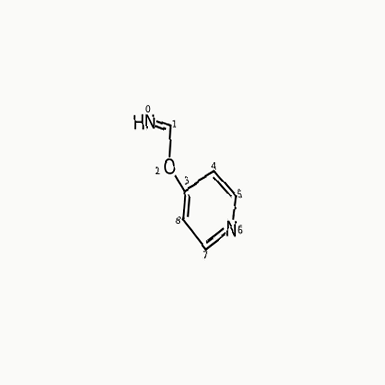 N=COc1ccncc1